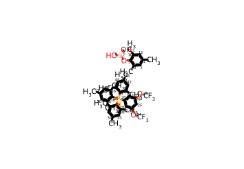 Cc1cc(C)c(OB(O)O)c(C)c1.Cc1cc(C)c([PH](c2cc(OC(F)(F)F)cc(OC(F)(F)F)c2)(c2c(C)cc(C)cc2C)c2c(C)cc(C)cc2C)c(C)c1